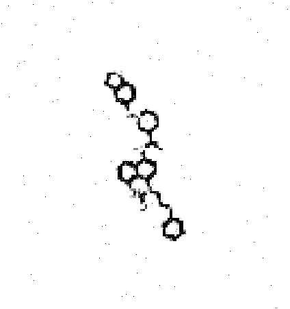 Cc1cccc2c(NC(=O)C3CCCN(Sc4ccc5c(c4)CCO5)C3)ccc(N(C=O)CCSc3ccccc3)c12